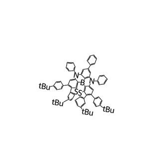 CC(C)(C)c1ccc(-c2cc3c(c4sc5ccc(C(C)(C)C)cc5c24)B2c4c(cc(-c5ccccc5)cc4N(c4ccccc4)c4cc(-c5ccc(C(C)(C)C)cc5)c5c(sc6ccc(C(C)(C)C)cc65)c42)N3c2ccccc2)cc1